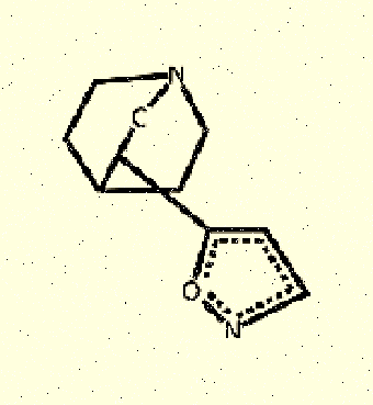 c1cc(C2CN3CCC2CC3)on1